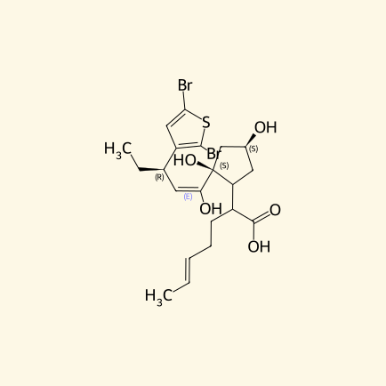 CC=CCCC(C(=O)O)C1C[C@H](O)C[C@@]1(O)/C(O)=C\[C@@H](CC)c1cc(Br)sc1Br